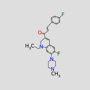 CCN1CC(C(=O)C=Cc2ccc(F)cc2)=Cc2cc(F)c(N3CCN(C)CC3)cc21